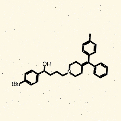 Cc1ccc(C(=C2CCN(CCCC(O)c3ccc(C(C)(C)C)cc3)CC2)c2ccccc2)cc1